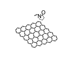 C=CN1CCCC1=O.c1cc2cc3cc4cc5ccc6cc7cc8cc9cccc%10cc%11cc%12cc%13ccc%14cc%15cc%16cc(c1)c2c1c3c2c4c3c5c6c4c7c5c8c(c9%10)c%11c6c%12c7c%13c%14c8c%15c(c%161)c2c1c3c4c(c56)c7c81